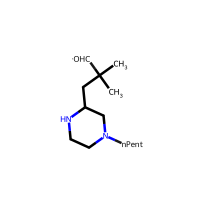 CCCCCN1CCNC(CC(C)(C)[C]=O)C1